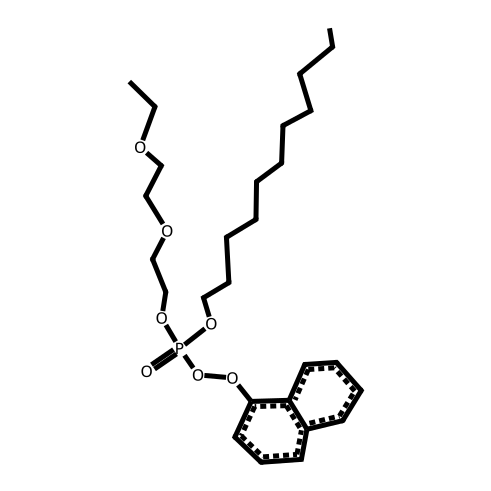 CCCCCCCCCCCOP(=O)(OCCOCCOCC)OOc1cccc2ccccc12